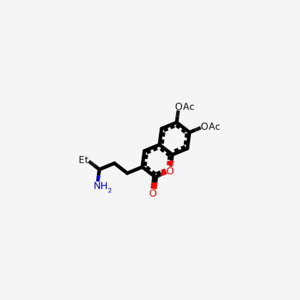 CCC(N)CCc1cc2cc(OC(C)=O)c(OC(C)=O)cc2oc1=O